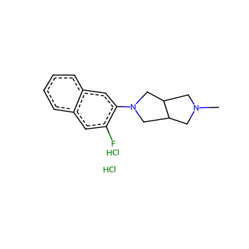 CN1CC2CN(c3cc4ccccc4cc3F)CC2C1.Cl.Cl